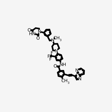 Cc1ccc(C(=O)Nc2ccc(N3CCC(N(C)Cc4cccc(N5CCC(=O)NC5=O)c4)CC3)c(C(F)(F)F)c2)cc1C#Cc1cnc2cccnn12